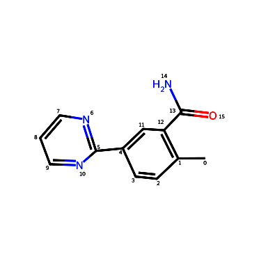 Cc1ccc(-c2ncccn2)cc1C(N)=O